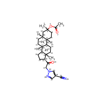 CC(=O)O[C@]1(C)CC[C@H]2[C@H](CC[C@@H]3[C@@H]2CC[C@]2(C)[C@@H](C(=O)Cn4cc(C#N)cn4)CC[C@@H]32)C1